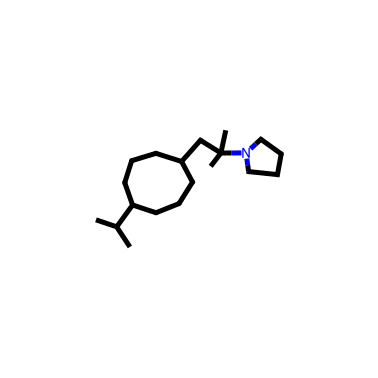 CC(C)C1CCCC(CC(C)(C)N2CCCC2)CCC1